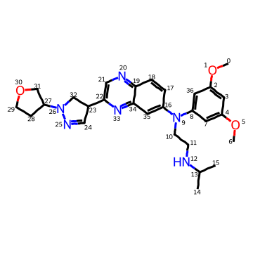 COc1cc(OC)cc(N(CCNC(C)C)c2ccc3ncc(C4C=NN(C5CCOC5)C4)nc3c2)c1